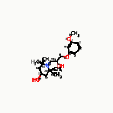 COc1cccc(OCC(O)CN2C(C)(C)CC(O)CC2(C)C)c1